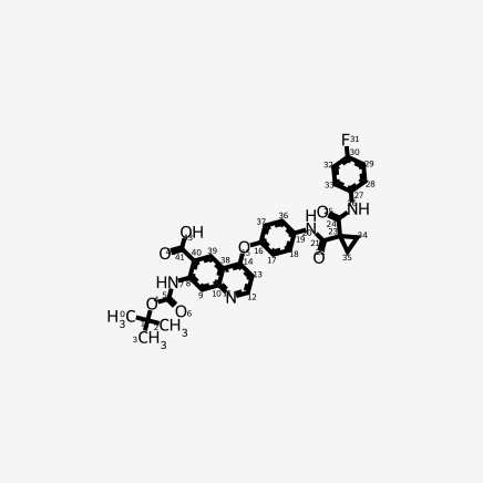 CC(C)(C)OC(=O)Nc1cc2nccc(Oc3ccc(NC(=O)C4(C(=O)Nc5ccc(F)cc5)CC4)cc3)c2cc1C(=O)O